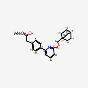 COC(=O)Cc1ccc(-c2cccc(OCC34CCC(CC3)CC4)n2)cc1